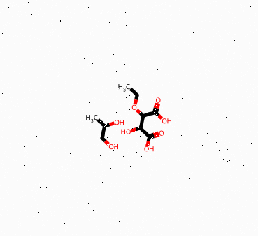 CC(O)CO.CCOC(C(=O)O)C(O)C(=O)O